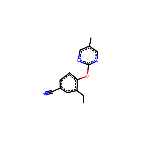 CCc1cc(C#N)ccc1Oc1ncc(C)cn1